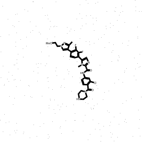 COCCn1cc(-c2ccc(-c3cnc(C(=O)Nc4ccc(C(=O)N5CCNCC5)c(Cl)c4)n3C)c(F)c2F)c(C)n1